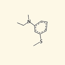 CCN(C)c1cccc(SC)c1